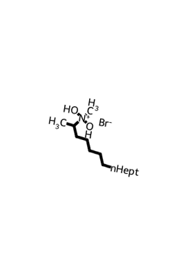 CCCCCCCCCCCCC(C)[N+](C)(O)O.[Br-]